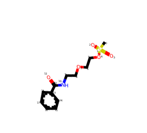 CS(=O)(=O)OCCOCCNC(=O)c1ccccc1